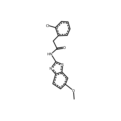 COc1ccc2nc(NC(=O)Cc3ccccc3Cl)sc2c1